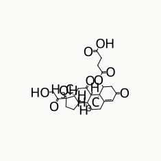 C[C@]12CC(=O)[C@H]3[C@@H](CCC4=CC(=O)CC(OC(=O)CCC(=O)O)[C@@]43C)[C@@H]1CC[C@]2(O)C(=O)CO